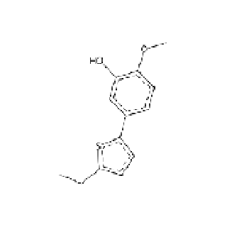 CCc1ccc(-c2ccc(OC)c(O)c2)s1